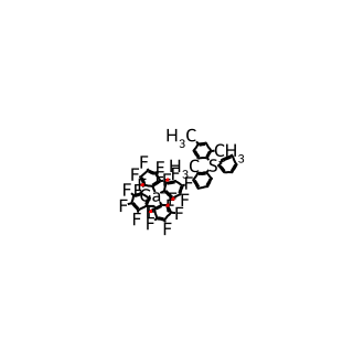 Cc1cc(C)c([S+](c2ccccc2)c2ccccc2)c(C)c1.Fc1c(F)c(F)[c]([Ga-]([c]2c(F)c(F)c(F)c(F)c2F)([c]2c(F)c(F)c(F)c(F)c2F)[c]2c(F)c(F)c(F)c(F)c2F)c(F)c1F